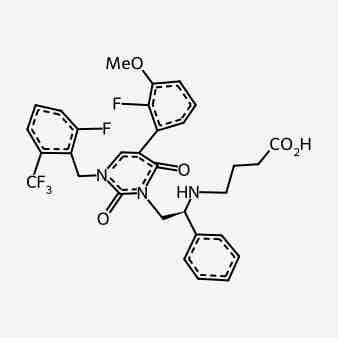 COc1cccc(-c2cn(Cc3c(F)cccc3C(F)(F)F)c(=O)n(C[C@@H](NCCCC(=O)O)c3ccccc3)c2=O)c1F